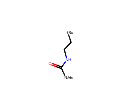 CNC(=O)NCCC(C)(C)C